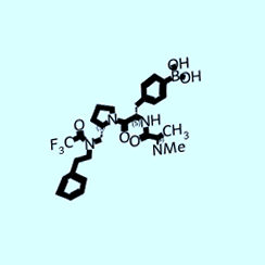 CN[C@@H](C)C(=O)N[C@@H](Cc1ccc(B(O)O)cc1)C(=O)N1CCC[C@H]1CN(CCc1ccccc1)C(=O)C(F)(F)F